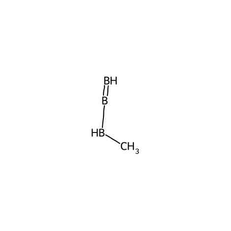 B=BBC